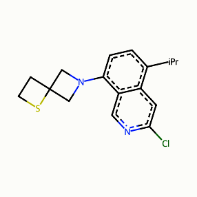 CC(C)c1ccc(N2CC3(CCS3)C2)c2cnc(Cl)cc12